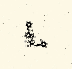 O[C@@H]1[C@H](O)[C@@H](CC#Cc2ccccc2F)O[C@H]1n1cnc2c(NCc3ccccc3)ncnc21